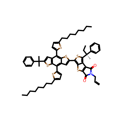 C=CCN1C(=O)c2sc3c(-c4cc5c(-c6ccc(CCCCCCCC)s6)c6sc(C(C)(C)c7ccccc7)cc6c(-c6ccc(CCCCCCCC)s6)c5s4)sc([C@@](C)(CC)c4ccccc4)c3c2C1=O